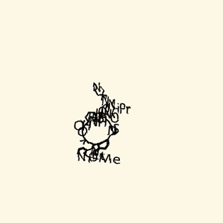 CCn1c(-c2cccnc2[C@H](C)OC)c2c3cc(ccc31)-c1csc(n1)C[Si@H](NC(=O)[C@H](C(C)C)N(C)C(=O)N1CC3(CCN(C)CC3)C1)C(=O)N1CCC[C@H](N1)C(=O)OCC(C)(C)C2